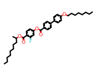 CCCCCCCCOc1ccc(-c2ccc(C(=O)Oc3ccc(C(=O)OC(C)CCCCCCCC)c(F)c3)cc2)cc1